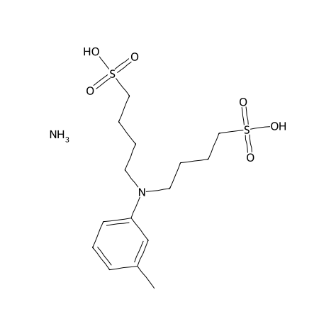 Cc1cccc(N(CCCCS(=O)(=O)O)CCCCS(=O)(=O)O)c1.N